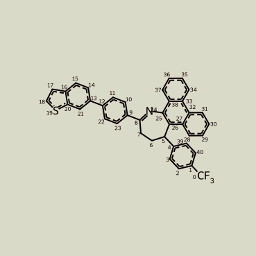 FC(F)(F)c1ccc(C2CCC(c3ccc(-c4ccc5ccsc5c4)cc3)=Nc3c2c2ccccc2c2ccccc32)cc1